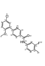 COc1ccc(Cl)cc1-c1ccc(C(=O)Nc2ccc(C)c(F)c2)cn1